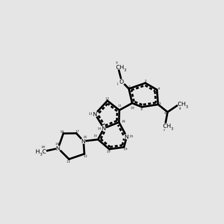 COc1ccc(C(C)C)cc1-c1cnn2c(N3CCN(C)CC3)ccnc12